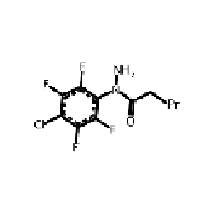 CC(C)CC(=O)N(N)c1c(F)c(F)c(Cl)c(F)c1F